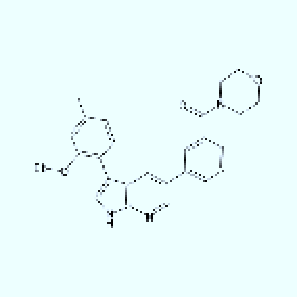 CCOc1cc(C)ccc1-c1c[nH]c2ncc(-c3cccc(C(=O)N4CCOCC4)c3)cc12